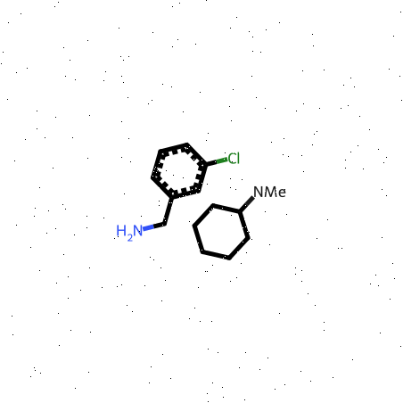 CNC1CCCCC1.NCc1cccc(Cl)c1